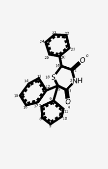 O=C1NC(=O)C(c2ccccc2)(c2ccccc2)SC1c1ccccc1